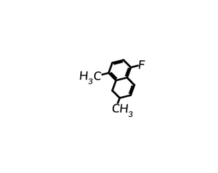 Cc1ccc(F)c2c1CC(C)C=C2